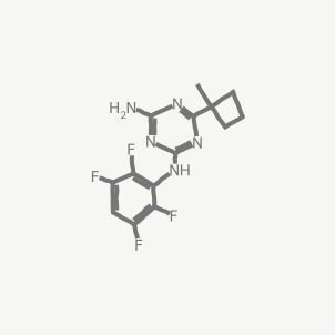 CC1(c2nc(N)nc(Nc3c(F)c(F)cc(F)c3F)n2)CCC1